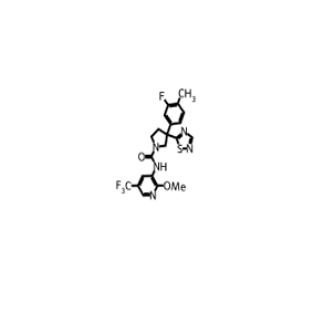 COc1ncc(C(F)(F)F)cc1NC(=O)N1CCC(c2ccc(C)c(F)c2)(c2ncns2)C1